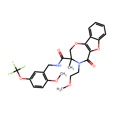 COCCN1C(=O)c2oc3ccccc3c2OCC1(C)C(=O)NCc1cc(OC(F)(F)F)ccc1OC